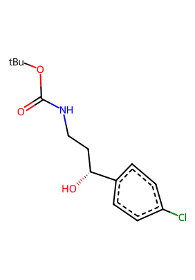 CC(C)(C)OC(=O)NCC[C@@H](O)c1ccc(Cl)cc1